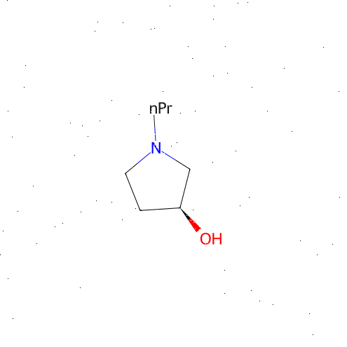 [CH2]CCN1CC[C@H](O)C1